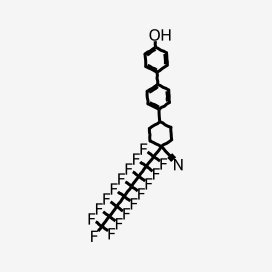 N#CC1(C(F)(F)C(F)(F)C(F)(F)C(F)(F)C(F)(F)C(F)(F)C(F)(F)C(F)(F)F)CCC(c2ccc(-c3ccc(O)cc3)cc2)CC1